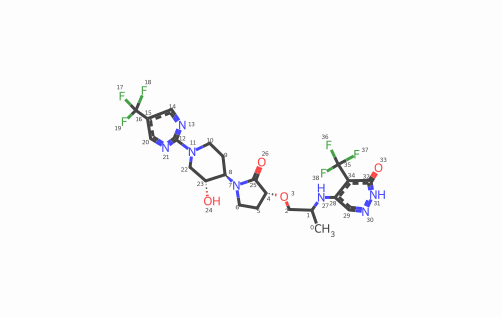 CC(CO[C@@H]1CCN([C@@H]2CCN(c3ncc(C(F)(F)F)cn3)C[C@H]2O)C1=O)Nc1cn[nH]c(=O)c1C(F)(F)F